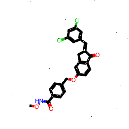 CONC(=O)c1ccc(COc2ccc3c(c2)C/C(=C\c2cc(Cl)cc(Cl)c2)C3=O)cc1